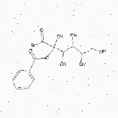 O=C(OC(O)(C(=O)Br)C(O)C(O)C(O)CO)c1ccccc1